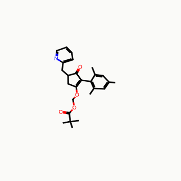 Cc1cc(C)c(C2=C(OCOC(=O)C(C)(C)C)CC(Cc3ccccn3)C2=O)c(C)c1